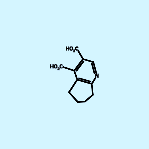 O=C(O)c1cnc2c(c1C(=O)O)CCCC2